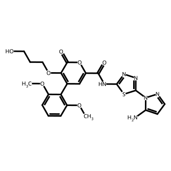 COc1cccc(OC)c1-c1cc(C(=O)Nc2nnc(-n3nccc3N)s2)oc(=O)c1OCCCO